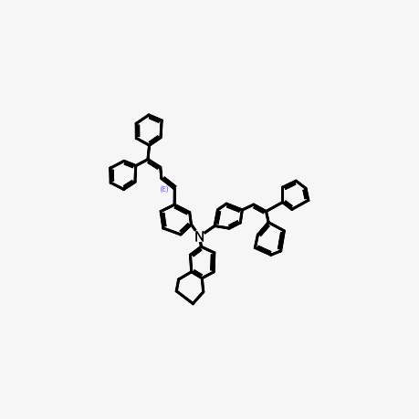 C(/C=C/c1cccc(N(c2ccc(C=C(c3ccccc3)c3ccccc3)cc2)c2ccc3c(c2)CCCC3)c1)=C(c1ccccc1)c1ccccc1